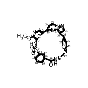 COc1ncc2cc1NS(=O)(=O)c1cccc(c1)C(=O)NCCN1CC=C(CC1)c1cnn3ccc-2nc13